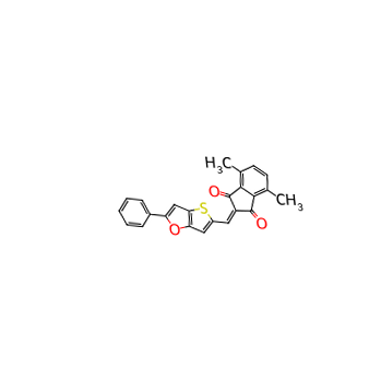 Cc1ccc(C)c2c1C(=O)C(=Cc1cc3oc(-c4ccccc4)cc3s1)C2=O